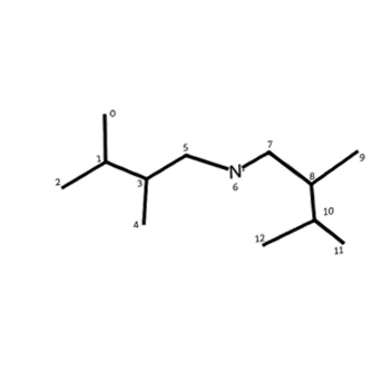 CC(C)C(C)C[N]CC(C)C(C)C